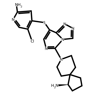 Nc1cc(Sc2cnc(N3CCC4(CCC[C@H]4N)CC3)n3cnnc23)c(Cl)cn1